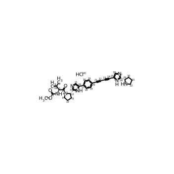 COC(=O)N[C@H](C(=O)N1CCC[C@H]1c1ncc(-c2ccc(C#CC#Cc3cnc([C@@H]4CCCN4)[nH]3)cc2)[nH]1)C(C)C.Cl